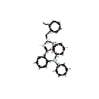 Cc1ccccc1C[C@H]1COC(c2ccccc2P(c2ccccc2)c2ccccc2)=N1